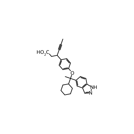 CC#CC(CC(=O)O)c1ccc(OC(C)(c2ccc3[nH]ncc3c2)C2CCCCC2)cc1